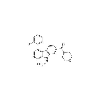 CCOC(=O)c1ncc(-c2ccccc2F)c2c1[nH]c1cc(C(=O)N3CCOCC3)ccc12